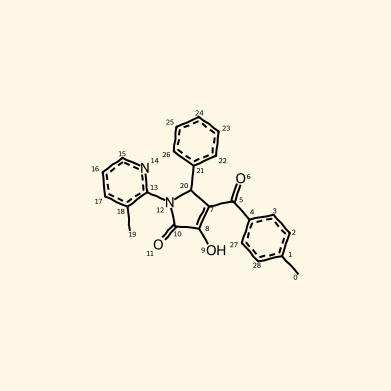 Cc1ccc(C(=O)C2=C(O)C(=O)N(c3ncccc3C)C2c2ccccc2)cc1